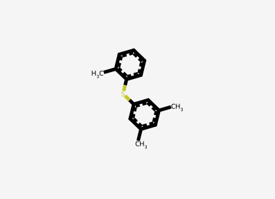 Cc1cc(C)cc(Sc2ccccc2C)c1